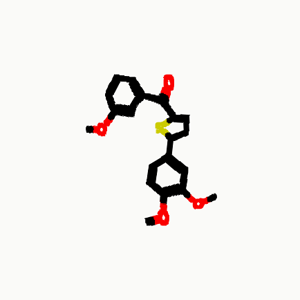 COc1cccc(C(=O)C2=CCC(c3ccc(OC)c(OC)c3)S2)c1